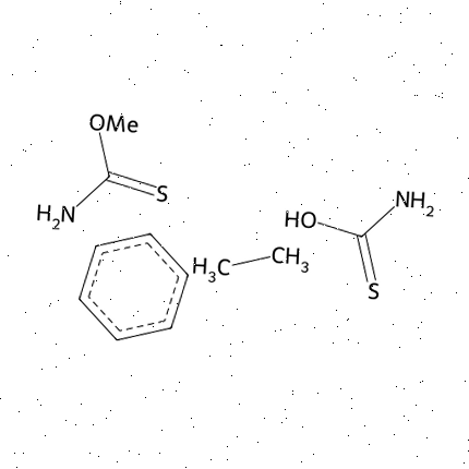 CC.COC(N)=S.NC(O)=S.c1ccccc1